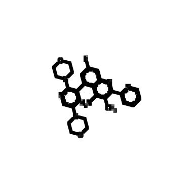 Cc1c(-c2ccccn2)nc2cc(F)cc(-c3cc(N4CCOCC4)cnc3N3CCOCC3)c2c1N